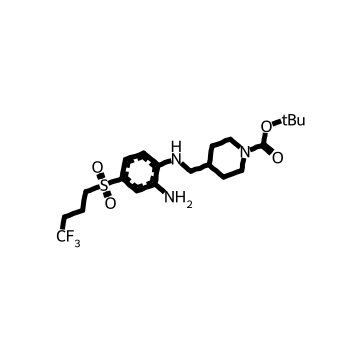 CC(C)(C)OC(=O)N1CCC(CNc2ccc(S(=O)(=O)CCCC(F)(F)F)cc2N)CC1